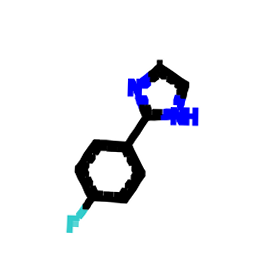 Fc1ccc(-c2n[c]c[nH]2)cc1